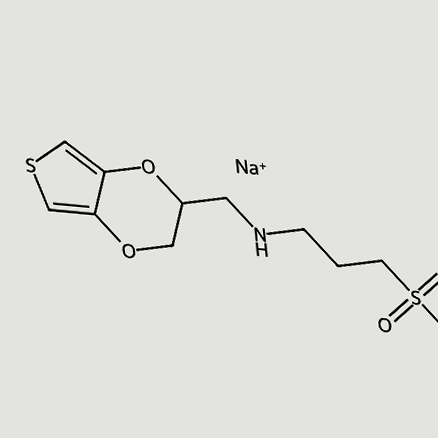 O=S(=O)([O-])CCCNCC1COc2cscc2O1.[Na+]